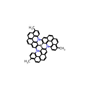 Cc1ccc2c3c1ccc1ccc4cc5c6c(c4c13)N2c1cc2ccc3ccc4c(C)ccc7c4c3c2c2c1B6c1c(cc3ccc4ccc6c(C)ccc8c6c4c3c1N58)N27